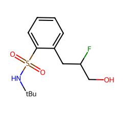 CC(C)(C)NS(=O)(=O)c1ccccc1CC(F)CO